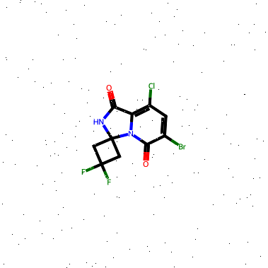 O=C1NC2(CC(F)(F)C2)n2c1c(Cl)cc(Br)c2=O